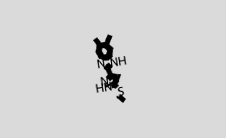 CCSc1cc(-c2nc3cc(C)c(C)cc3[nH]2)n[nH]1